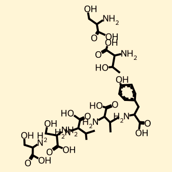 CC(C)C(N)C(=O)O.CC(C)C(N)C(=O)O.CC(O)C(N)C(=O)O.NC(CO)C(=O)O.NC(CO)C(=O)O.NC(CO)C(=O)O.NC(Cc1ccc(O)cc1)C(=O)O